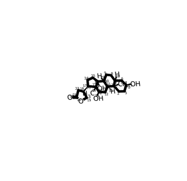 C[C@]12CC[C@H](O)C[C@H]1CC[C@@H]1[C@@H]2C[C@@H](O)[C@]2(C)[C@@H](C3COC(=O)C3)CC[C@]12O